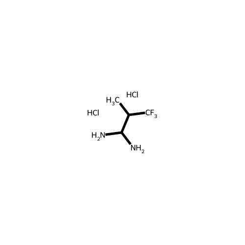 CC(C(N)N)C(F)(F)F.Cl.Cl